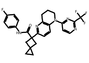 O=C(Nc1ccc(F)cc1)C1(c2ccc3c(n2)CCCN3c2ccnc(C(F)(F)F)n2)CC2(CC2)C1